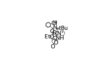 CCO[C@H]1CC(=O)O[C@H]1NC(=O)[N+]1(C(=O)[C@@H](NC(=O)c2ccccc2Cl)C(C)(C)C)CCCCC1